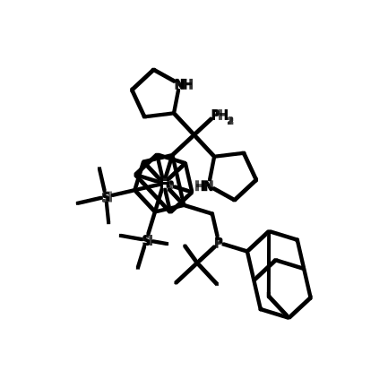 CC(C)(C)P(C[C]12[C]3(C(P)(C4CCCN4)C4CCCN4)[CH]4[C]5([Si](C)(C)C)[C]1([Si](C)(C)C)[Fe]42351678[CH]2[CH]1[CH]6[CH]7[CH]28)C1C2CC3CC(C2)CC1C3